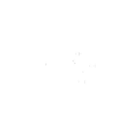 CCCC=CN(C)B(C)C